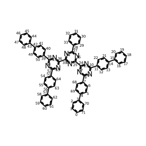 c1ccc(-c2ccc(-c3nc(-c4ccc(-c5ccccc5)cc4)nc(-c4nc(-c5ccccc5)nc(-c5nc(-c6ccc(-c7ccccc7)cc6)nc(-c6ccc(-c7ccccc7)cc6)n5)n4)n3)cc2)cc1